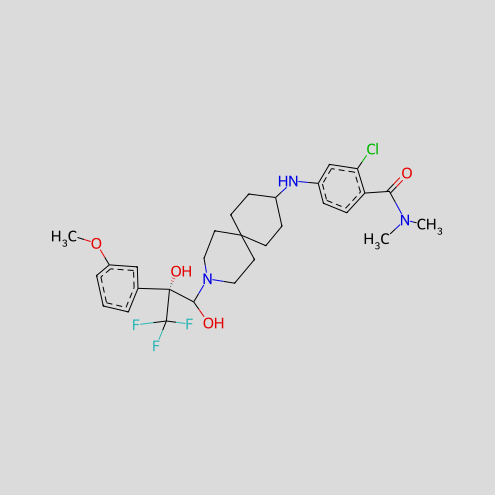 COc1cccc([C@@](O)(C(O)N2CCC3(CCC(Nc4ccc(C(=O)N(C)C)c(Cl)c4)CC3)CC2)C(F)(F)F)c1